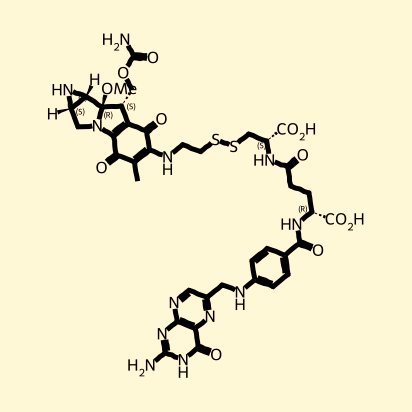 CO[C@@]12[C@H](COC(N)=O)C3=C(C(=O)C(C)=C(NCCSSC[C@@H](NC(=O)CC[C@@H](NC(=O)c4ccc(NCc5cnc6nc(N)[nH]c(=O)c6n5)cc4)C(=O)O)C(=O)O)C3=O)N1C[C@@H]1N[C@@H]12